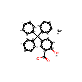 O=C([O-])c1cc(C(c2ccccc2)(c2ccccc2)c2ccccc2)ccc1O.[Na+]